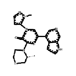 C[C@@H]1COCCN1c1nc(-c2cncc3[nH]ccc23)cn(-c2ccnn2C)c1=O